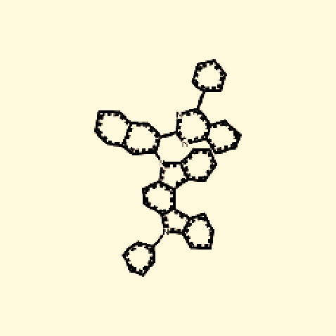 c1ccc(-c2nc(-c3cc4ccccc4cc3-n3c4ccccc4c4c5c6ccccc6n(-c6ccccc6)c5ccc43)nc3ccccc23)cc1